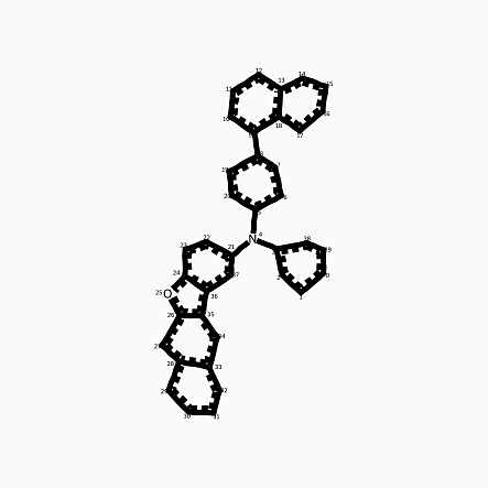 c1ccc(N(c2ccc(-c3cccc4ccccc34)cc2)c2ccc3oc4cc5ccccc5cc4c3c2)cc1